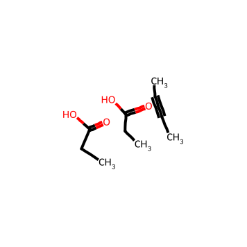 CC#CC.CCC(=O)O.CCC(=O)O